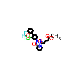 COC(=O)CCCC(=O)N1CCCC[C@@H]1C(=O)Nc1ccc(-c2ccccc2OC(F)(F)F)c(Cl)c1